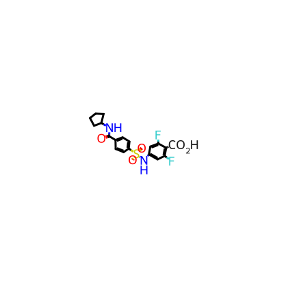 O=C(NC1CCCC1)c1ccc(S(=O)(=O)Nc2cc(F)c(C(=O)O)c(F)c2)cc1